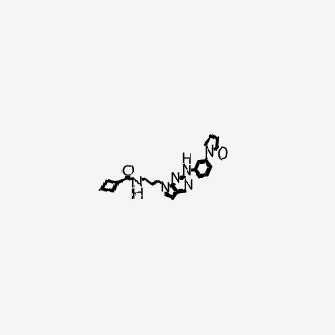 O=C(NCCCn1ccc2cnc(Nc3cccc(N4CCCC4=O)c3)nc21)C1CCC1